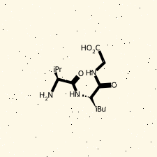 CC[C@H](C)[C@H](NC(=O)[C@@H](N)C(C)C)C(=O)NCC(=O)O